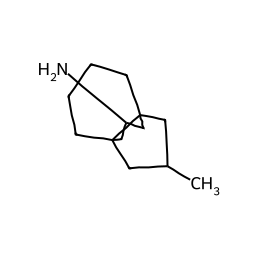 CC1CC23CCCCC2(C1)CC(N)C3